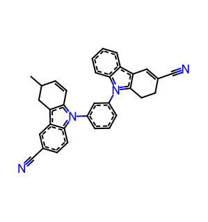 CC1C=Cc2c(c3cc(C#N)ccc3n2-c2cccc(-n3c4c(c5ccccc53)C=C(C#N)CC4)c2)C1